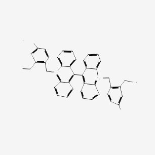 O=C(O)c1ccc(C[n+]2c3ccccc3c(-c3c4ccccc4[n+](Cc4ccc(C(=O)O)cc4CO)c4ccccc34)c3ccccc32)c(CO)c1